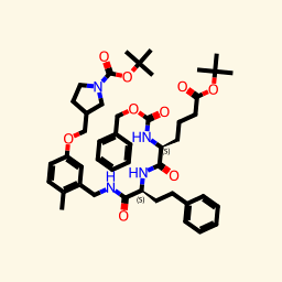 Cc1ccc(OCC2CCN(C(=O)OC(C)(C)C)C2)cc1CNC(=O)[C@H](CCc1ccccc1)NC(=O)[C@H](CCCC(=O)OC(C)(C)C)NC(=O)OCc1ccccc1